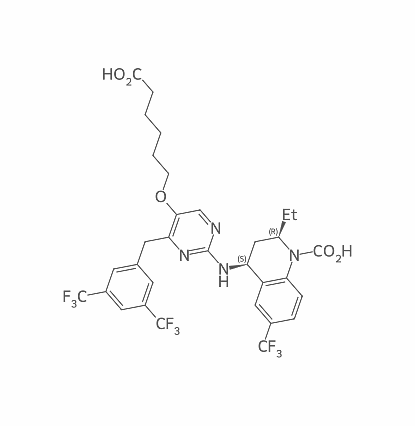 CC[C@@H]1C[C@H](Nc2ncc(OCCCCCC(=O)O)c(Cc3cc(C(F)(F)F)cc(C(F)(F)F)c3)n2)c2cc(C(F)(F)F)ccc2N1C(=O)O